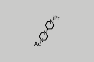 CC(=O)N1CCN(C2CCN(C(C)C)CC2)CC1